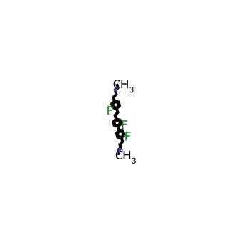 C/C=C/CCc1ccc(CCc2ccc(-c3ccc(CC/C=C/C)c(F)c3)c(F)c2)c(F)c1